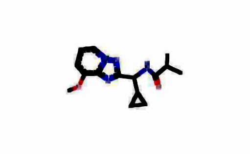 COc1cccn2nc(C(NC(=O)C(C)C)C3CC3)nc12